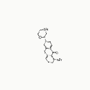 CCCc1cccc2sc3cc(C4CNCCO4)ccc3c(=O)c12